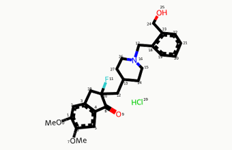 COc1cc2c(cc1OC)C(=O)C(F)(CC1CCN(Cc3ccccc3CO)CC1)C2.Cl